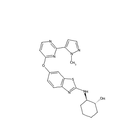 Cn1nccc1-c1nccc(Oc2ccc3nc(N[C@@H]4CCCC[C@H]4O)sc3c2)n1